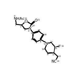 CC(=O)NCC1CN(c2ccc(N3CCC(CC#N)[C@H](F)C3)cc2)C(=O)O1